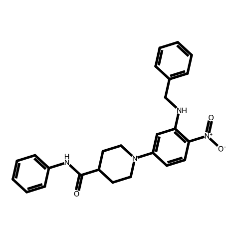 O=C(Nc1ccccc1)C1CCN(c2ccc([N+](=O)[O-])c(NCc3ccccc3)c2)CC1